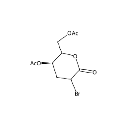 CC(=O)OCC1OC(=O)C(Br)C[C@H]1OC(C)=O